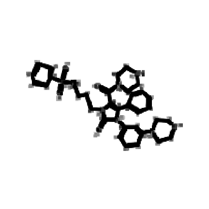 O=C(c1c(-c2ccccc2)n(-c2cccc(N3CCOCC3)c2)c(=O)n1CCCNS(=O)(=O)c1ccccc1)N1CCNCC1